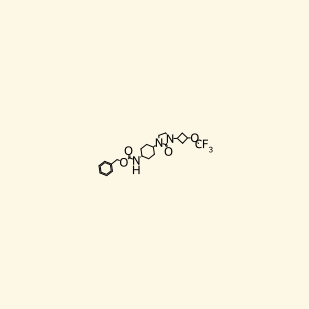 O=C(N[C@H]1CC[C@H](N2CCN(C3CC(OC(F)(F)F)C3)C2=O)CC1)OCc1ccccc1